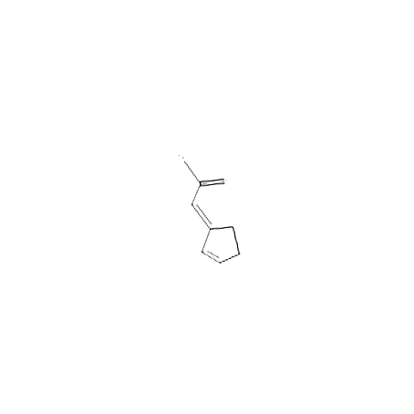 [NH]C(=O)/C=C1/C=CCC1